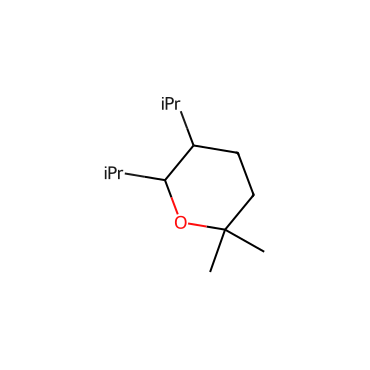 CC(C)C1CCC(C)(C)OC1C(C)C